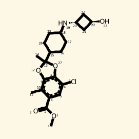 COC(=O)c1cc(Cl)c2c(c1C)OC(C)(C1CCC(N[C@H]3C[C@H](O)C3)CC1)O2